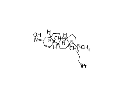 CC(C)CCC[C@@H](C)[C@H]1CC[C@H]2[C@@H]3CC[C@H]4CC(=NO)C=C[C@]4(C)[C@H]3CC[C@]12C